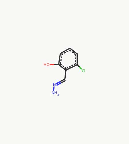 NN=Cc1c(O)cccc1Cl